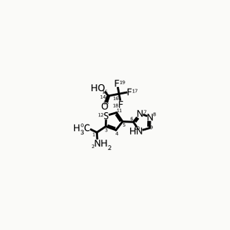 CC(N)c1cc(-c2nnc[nH]2)cs1.O=C(O)C(F)(F)F